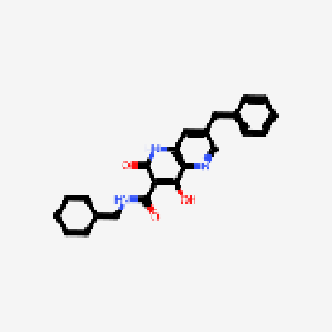 O=C(NCC1CCCCC1)c1c(O)c2ncc(Cc3ccccc3)cc2[nH]c1=O